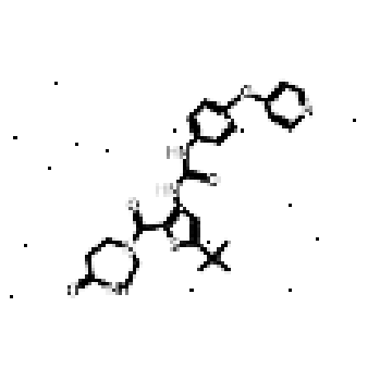 CC(C)(C)c1cc(NC(=O)Nc2ccc(Oc3ccncc3)cc2)c(C(=O)N2CCNC(=O)CC2)s1